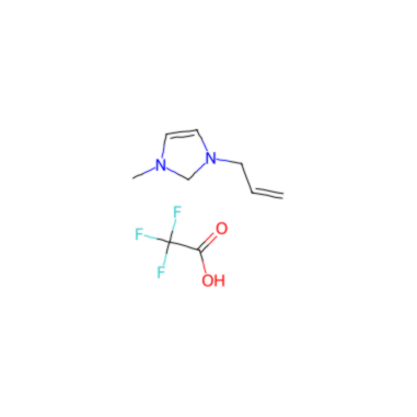 C=CCN1C=CN(C)C1.O=C(O)C(F)(F)F